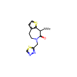 CNC1C(=O)N(Cc2nncs2)CCc2ccsc21